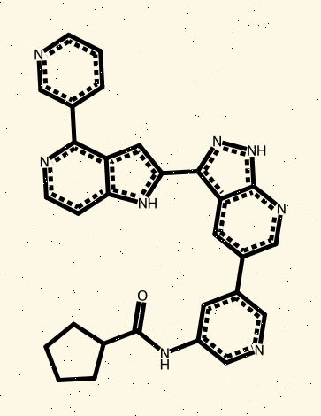 O=C(Nc1cncc(-c2cnc3[nH]nc(-c4cc5c(-c6cccnc6)nccc5[nH]4)c3c2)c1)C1CCCC1